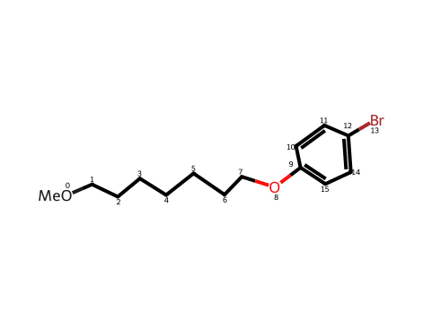 COCCCCCCCOc1ccc(Br)cc1